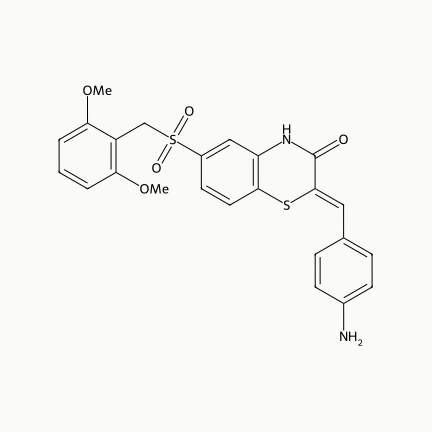 COc1cccc(OC)c1CS(=O)(=O)c1ccc2c(c1)NC(=O)C(=Cc1ccc(N)cc1)S2